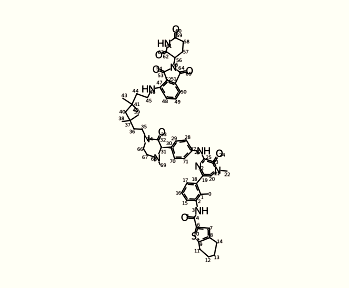 Cc1c(NC(=O)c2cc3c(s2)CCCC3)cccc1-c1cn(C)c(=O)c(Nc2ccc([C@@H]3C(=O)N(CCC(C)(C)CC(C)(C)CCNc4cccc5c4C(=O)N(C4CCC(=O)NC4=O)C5=O)CCN3C)cc2)n1